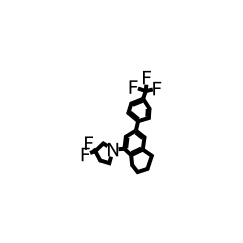 FC1(F)CCN(c2cc(-c3ccc(C(F)(F)F)cc3)cc3c2CCCC3)C1